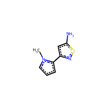 Cn1cccc1-c1cc(N)sn1